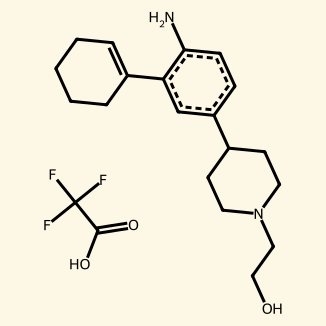 Nc1ccc(C2CCN(CCO)CC2)cc1C1=CCCCC1.O=C(O)C(F)(F)F